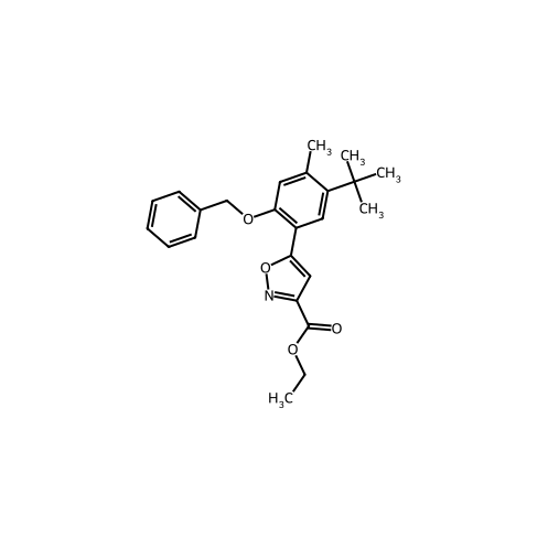 CCOC(=O)c1cc(-c2cc(C(C)(C)C)c(C)cc2OCc2ccccc2)on1